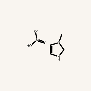 CN1C=CNC1.O=[N+]([O-])O